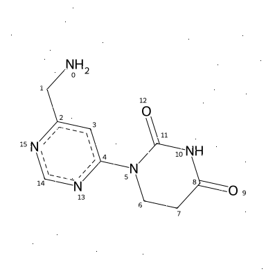 NCc1cc(N2CCC(=O)NC2=O)ncn1